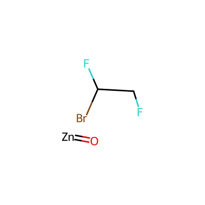 FCC(F)Br.[O]=[Zn]